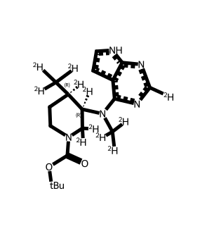 [2H]c1nc(N(C([2H])([2H])[2H])[C@@]2([2H])C([2H])([2H])N(C(=O)OC(C)(C)C)CC[C@@]2([2H])C([2H])([2H])[2H])c2cc[nH]c2n1